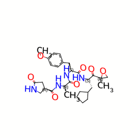 COc1ccc(C[C@H](NC(=O)[C@@H](C)NC(=O)[C@H]2CNC(=O)C2)C(=O)N[C@@H](CC2CCCC2)C(=O)[C@@]2(C)CO2)cc1